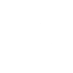 C#C/C(C)=C(/C)c1c(C)c(C)c(C)c(C)c1CF